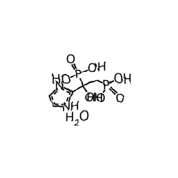 O.O=P(O)(O)CC(O)(c1ncc[nH]1)P(=O)(O)O